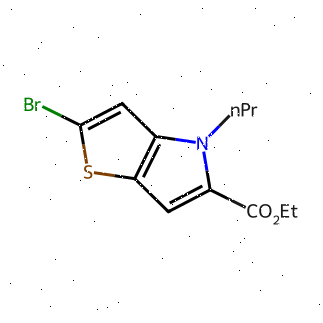 CCCn1c(C(=O)OCC)cc2sc(Br)cc21